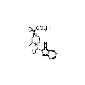 C[C@H]1CN(C(=O)C(=O)O)CCN1C(=O)c1cc2ccccc2[nH]1